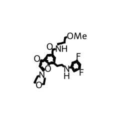 COCCCNC(=O)c1cc(CCNc2cc(F)cc(F)c2)c2oc(N3CCOCC3)cc(=O)c2c1